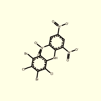 O=[N+]([O-])c1cc([N+](=O)[O-])c(Nc2c(Cl)c(Br)c(Cl)c(Br)c2Cl)c([N+](=O)[O-])c1